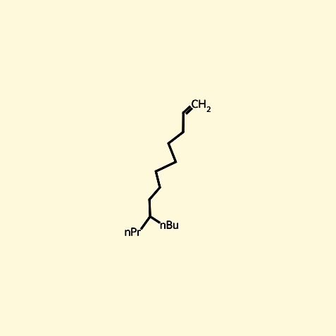 C=CCCCCCCC(CCC)CCCC